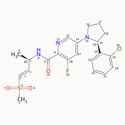 C[C@H](/C=C/S(C)(=O)=O)NC(=O)c1ncc(N2CCC[C@H]2c2ccccc2Cl)cc1F